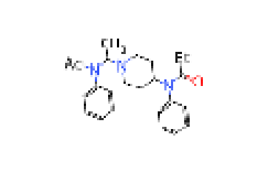 CCC(=O)N(c1ccccc1)C1CCN(C(C)N(C(C)=O)c2ccccc2)CC1